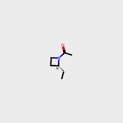 CC[C@@H]1CCN1C(C)=O